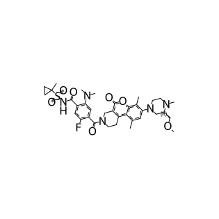 COC[C@H]1CN(c2cc(C)c3c4c(c(=O)oc3c2C)CN(C(=O)c2cc(N(C)C)c(C(=O)NS(=O)(=O)C3(C)CC3)cc2F)CC4)CCN1C